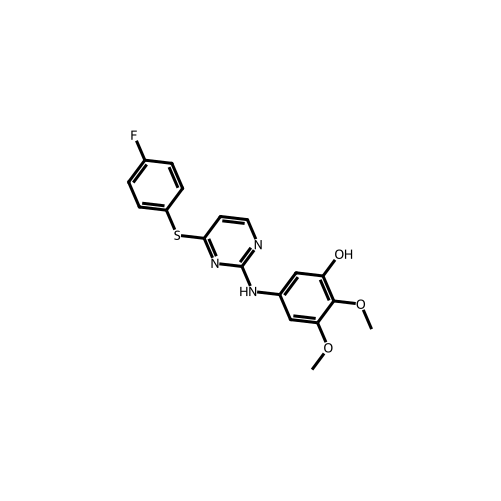 COc1cc(Nc2nccc(Sc3ccc(F)cc3)n2)cc(O)c1OC